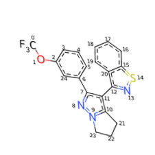 FC(F)(F)Oc1cccc(-c2nn3c(c2-c2nsc4ccccc24)CCC3)c1